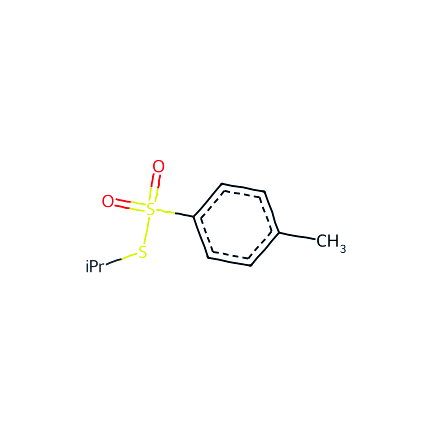 Cc1ccc(S(=O)(=O)SC(C)C)cc1